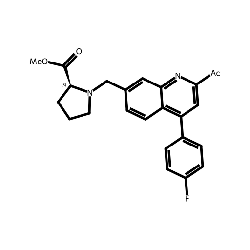 COC(=O)[C@@H]1CCCN1Cc1ccc2c(-c3ccc(F)cc3)cc(C(C)=O)nc2c1